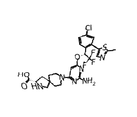 Cc1ncc(-c2cc(Cl)ccc2[C@@H](Oc2cc(N3CCC4(CC3)CN[C@H](C(=O)O)C4)nc(N)n2)C(F)(F)F)s1